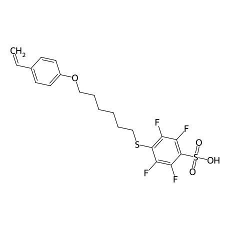 C=Cc1ccc(OCCCCCCSc2c(F)c(F)c(S(=O)(=O)O)c(F)c2F)cc1